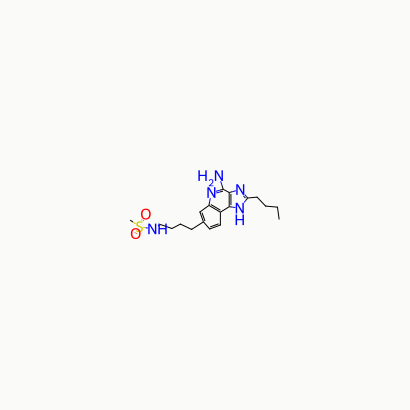 CCCCc1nc2c(N)nc3cc(CCCCNS(C)(=O)=O)ccc3c2[nH]1